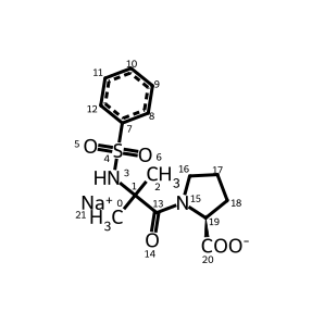 CC(C)(NS(=O)(=O)c1ccccc1)C(=O)N1CCC[C@H]1C(=O)[O-].[Na+]